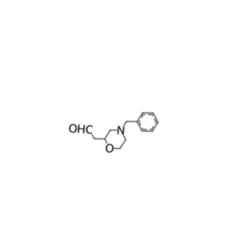 O=CCC1CN(Cc2ccccc2)CCO1